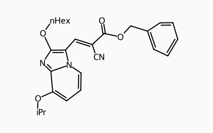 CCCCCCOc1nc2c(OC(C)C)cccn2c1C=C(C#N)C(=O)OCc1ccccc1